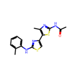 CC(=O)Nc1nc(C)c(-c2csc(Nc3ccccc3C)n2)s1